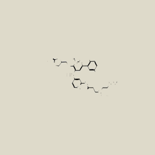 C=C1OCC(COC2=C(Nc3ccnc(NC(=O)CCN(CCC)CCNC)c3)C=C(c3cc(Cl)ccc3F)NN2C)O1